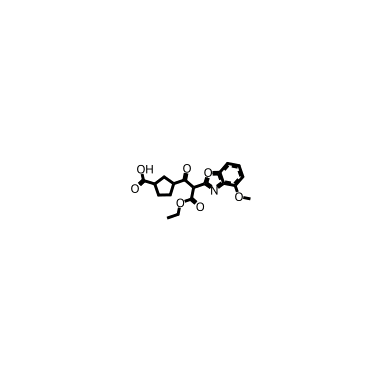 CCOC(=O)C(C(=O)C1CCC(C(=O)O)C1)c1nc2c(OC)cccc2o1